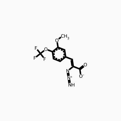 COc1cc(C=C(N=[N+]=N)C(=O)[O-])ccc1OC(F)(F)F